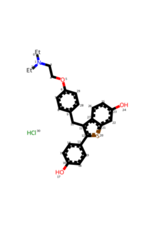 CCN(CC)CCOc1ccc(Cc2c(-c3ccc(O)cc3)sc3cc(O)ccc23)cc1.Cl